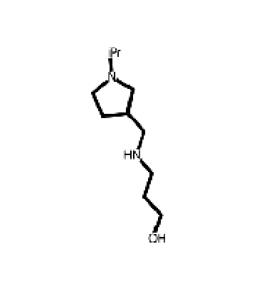 CC(C)N1CCC(CNCCCO)C1